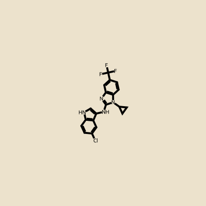 FC(F)(F)c1ccc2c(c1)nc(Nc1c[nH]c3ccc(Cl)cc13)n2C1CC1